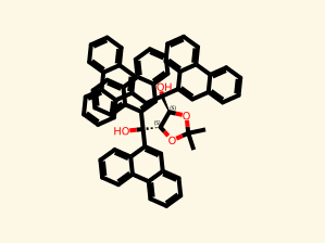 CC1(C)O[C@H](C(O)(Cc2cc3ccccc3c3ccccc23)c2cc3ccccc3c3ccccc23)[C@@H](C(O)(c2cc3ccccc3c3ccccc23)c2cc3ccccc3c3ccccc23)O1